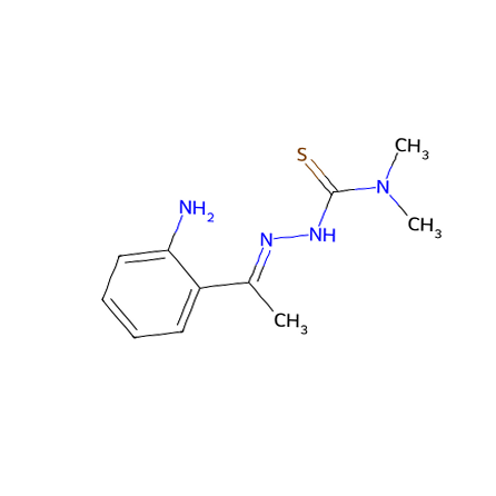 CC(=NNC(=S)N(C)C)c1ccccc1N